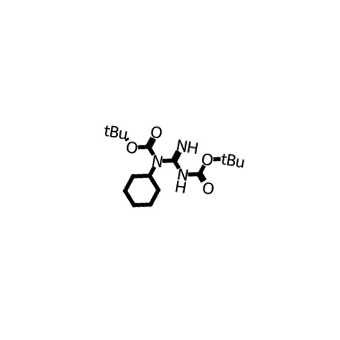 CC(C)(C)OC(=O)NC(=N)N(C(=O)OC(C)(C)C)C1CCCCC1